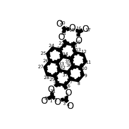 O=c1oc(=O)oc2c3ccc4ccc5c6oc(=O)oc(=O)oc6c6ccc7ccc(c2o1)c1c7c6c5c4c31